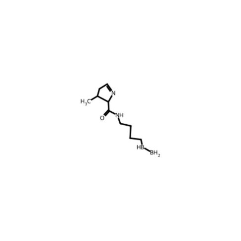 BBCCCCNC(=O)C1N=CCC1C